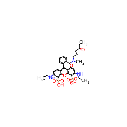 CC/N=c1\ccc2c(-c3ccccc3C(=O)N(C)CCCC(=O)CC)c3ccc(NCC)c(S(=O)(=O)O)c3oc-2c1S(=O)(=O)O